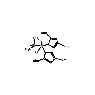 CCCCC1=CC(CCC)=C[CH]1[Ti]([Cl])([Cl])([CH]1C=C(CCC)C=C1CCCC)[SiH](C)C